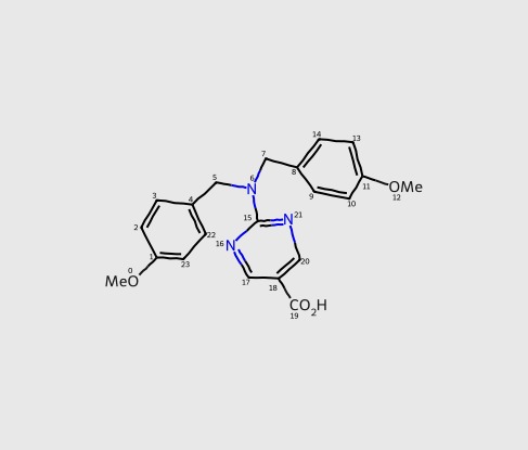 COc1ccc(CN(Cc2ccc(OC)cc2)c2ncc(C(=O)O)cn2)cc1